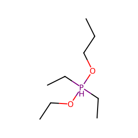 CCCO[PH](CC)(CC)OCC